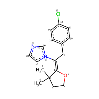 CC1(C)CCOC1=C(Cc1ccc(Cl)cc1)n1ccnc1